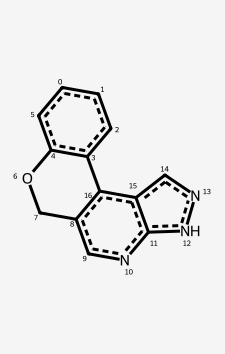 c1ccc2c(c1)OCc1cnc3[nH]ncc3c1-2